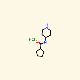 Cl.O=C(NC1CCNCC1)C1CCCC1